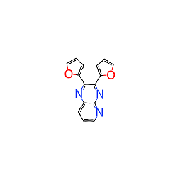 c1coc(-c2nc3cccnc3nc2-c2ccco2)c1